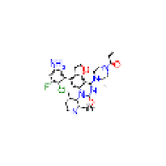 C=CC(=O)N1CCN(c2nc(=O)n(-c3c(C)ccnc3C(C)C)c3cc(-c4cc(N)cc(F)c4Cl)c4ccoc4c23)[C@@H](C)C1